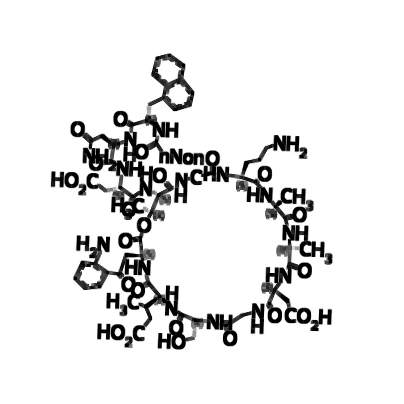 CCCCCCCCCC(=O)N[C@@H](Cc1cccc2ccccc12)C(=O)N[C@H](CC(N)=O)C(=O)N[C@@H](CC(=O)O)C(=O)N[C@@H]1C(=O)NCC(=O)N[C@@H](CCCN)C(=O)N[C@@H](C)C(=O)N[C@H](C)C(=O)N[C@@H](CC(=O)O)C(=O)NCC(=O)N[C@H](CO)C(=O)N[C@@H](C(C)CC(=O)O)C(=O)N[C@@H](CC(=O)c2ccccc2N)C(=O)O[C@@H]1C